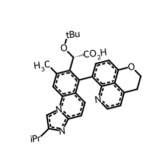 Cc1cc2c(ccc3nc(C(C)C)cn32)c(-c2ccc3c4c(ccnc24)CCO3)c1[C@H](OC(C)(C)C)C(=O)O